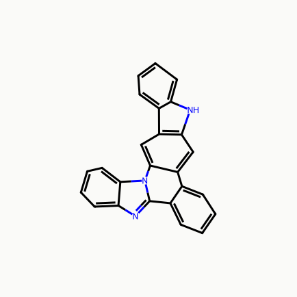 c1ccc2c(c1)nc1c3ccccc3c3cc4[nH]c5ccccc5c4cc3n21